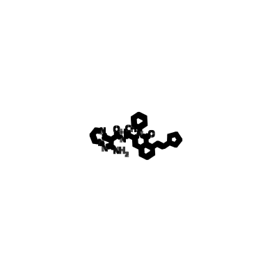 CC(NC(=O)c1c(N)nn2cccnc12)c1cc2cccc(/C=C/C3CCCC3)c2c(=O)n1-c1ccccc1